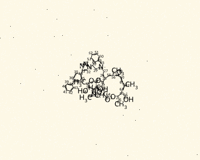 CC[C@H]1OC(=O)C[C@@H](O)[C@H](C)[C@@H](O[C@@H]2O[C@H](C)[C@@H](O)C(N(C)C)C2O)[C@@H](CCN(CCn2cc(-c3ccc(-c4ccccc4)cc3)nn2)Cc2ccccc2)C[C@@H](C)C(=O)/C=C/C(C)=C/[C@@H]1CO